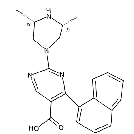 C[C@@H]1CN(c2ncc(C(=O)O)c(-c3cccc4ccccc34)n2)C[C@H](C)N1